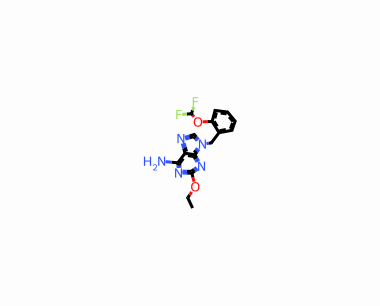 CCOc1nc(N)c2ncn(Cc3ccccc3OC(F)F)c2n1